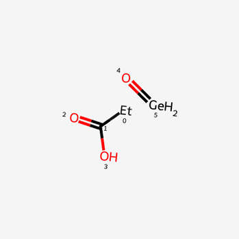 [CH2]CC(=O)O.[O]=[GeH2]